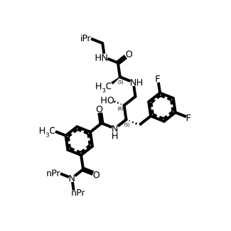 CCCN(CCC)C(=O)c1cc(C)cc(C(=O)N[C@@H](Cc2cc(F)cc(F)c2)[C@H](O)CN[C@@H](C)C(=O)NCC(C)C)c1